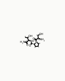 CC(O)C(NC(=O)[C@@H]1CCCN1C(=O)C(N)CO)C(N)=O